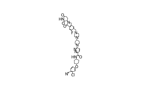 N#Cc1ccc(OC2CCC(NC(=O)c3ccc(N4CCC(N5CCN(Cc6cc7c(cc6F)C(=O)N(C6CCC(=O)NC6=O)C7)CC5)CC4)nn3)CC2)cc1Cl